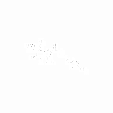 COC1(C2C(=O)Nc3c(C)nc(N[C@H]4C[C@@H](COc5ccc(C(F)(F)F)nc5)C4)nc3N2C)CCC1